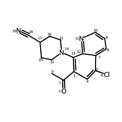 CC(=O)c1cc(Cl)c2cccnc2c1N1CCC(C#N)CC1